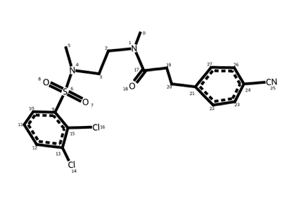 CN(CCN(C)S(=O)(=O)c1cccc(Cl)c1Cl)C(=O)CCc1ccc(C#N)cc1